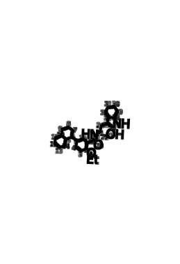 CCOc1ccc(-c2cccc3ccccc23)cc1C(=O)N[C@@H](CO)Cc1c[nH]c2ccccc12